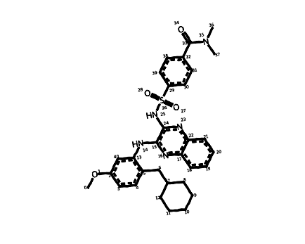 COc1ccc(CC2CCCCC2)c(Nc2nc3ccccc3nc2NS(=O)(=O)c2ccc(C(=O)N(C)C)cc2)c1